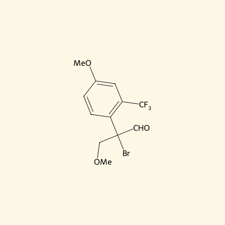 COCC(Br)(C=O)c1ccc(OC)cc1C(F)(F)F